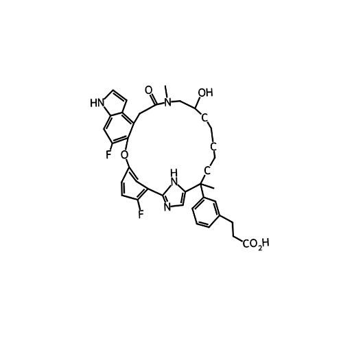 CN1CC(O)CCCCCC(C)(c2cccc(CCC(=O)O)c2)c2cnc([nH]2)-c2cc(ccc2F)Oc2c(F)cc3[nH]ccc3c2CC1=O